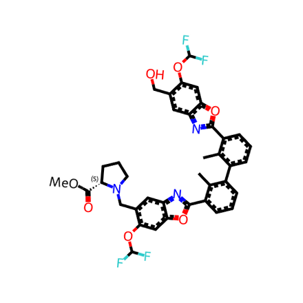 COC(=O)[C@@H]1CCCN1Cc1cc2nc(-c3cccc(-c4cccc(-c5nc6cc(CO)c(OC(F)F)cc6o5)c4C)c3C)oc2cc1OC(F)F